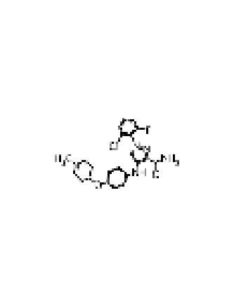 CN1CCC(Oc2ccc(Nc3cn(-c4c(F)cccc4Cl)nc3C(N)=O)cc2)CC1